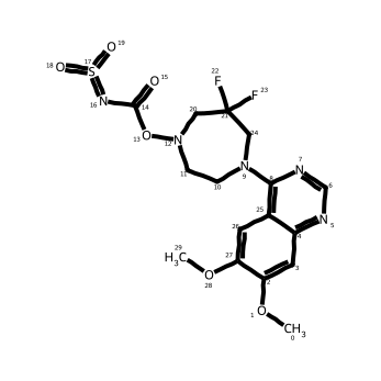 COc1cc2ncnc(N3CCN(OC(=O)N=S(=O)=O)CC(F)(F)C3)c2cc1OC